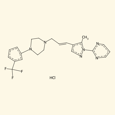 Cc1c(C=CCN2CCN(c3cccc(C(F)(F)F)c3)CC2)cnn1-c1ncccn1.Cl